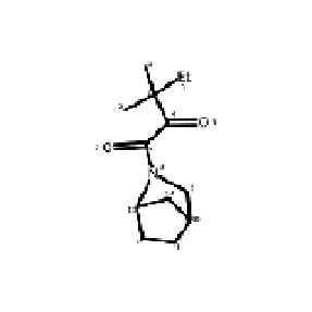 CCC(C)(C)C(=O)C(=O)N1CC2CCC1C2